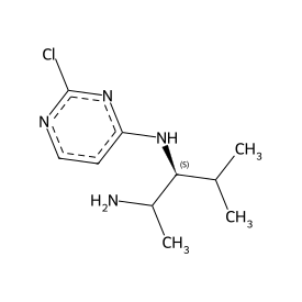 CC(C)[C@H](Nc1ccnc(Cl)n1)C(C)N